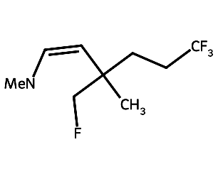 CN/C=C\C(C)(CF)CCC(F)(F)F